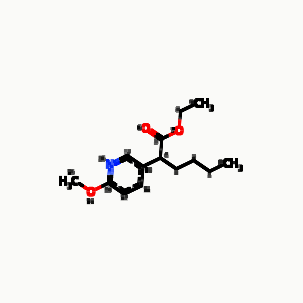 CCCCC(C(=O)OCC)c1ccc(OC)nc1